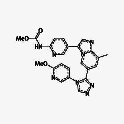 COC(=O)Nc1ccc(-c2cnc3c(C)cc(-c4nncn4-c4ccc(OC)nc4)cn23)cn1